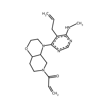 C=CCc1c(NC)ncnc1N1CCOC2CCN(C(=O)C=C)CC21